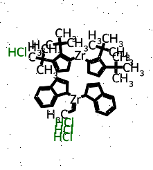 CC(C)(C)C1=CC[C]([Zr][C]2=C(C(C)(C)C)C(C(C)(C)C)=CC2)=C1C(C)(C)C.C[CH]=[Zr]([CH]1C=Cc2ccccc21)[CH]1C=Cc2ccccc21.Cl.Cl.Cl.Cl